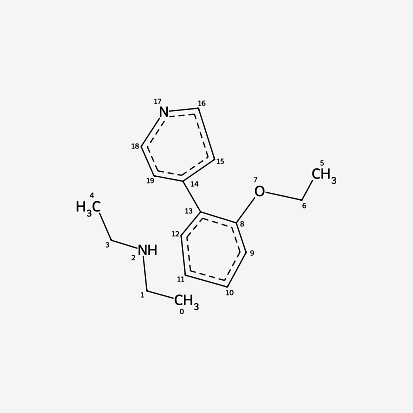 CCNCC.CCOc1ccccc1-c1ccncc1